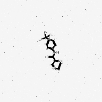 O=C(Nc1ccc(C(F)(F)F)cc1)c1cnccn1